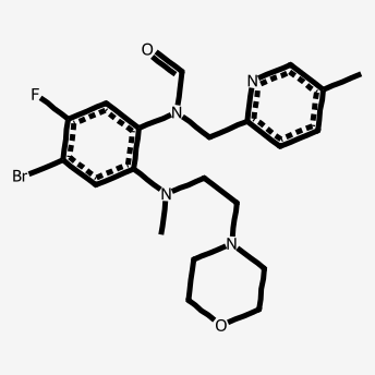 Cc1ccc(CN(C=O)c2cc(F)c(Br)cc2N(C)CCN2CCOCC2)nc1